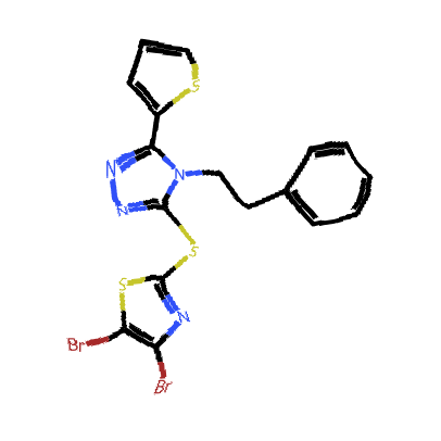 Brc1nc(Sc2nnc(-c3cccs3)n2CCc2ccccc2)sc1Br